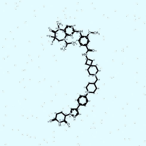 COc1cc(C(=O)NC2CC3(CCN(CC4CCN(c5ccc(-c6cnn(C7CCC(=O)NC7=O)c6)cc5)CC4)CC3)C2)ccc1Nc1ncc2c(n1)N(C(C)C)CC(F)(F)C(=O)N2C